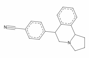 N#Cc1ccc(C2CN3CCCC3c3ccccc32)cc1